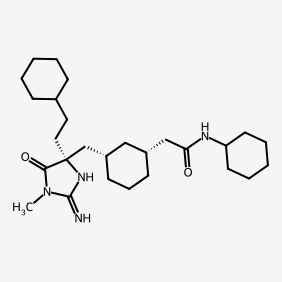 CN1C(=N)N[C@](CCC2CCCCC2)(C[C@H]2CCC[C@@H](CC(=O)NC3CCCCC3)C2)C1=O